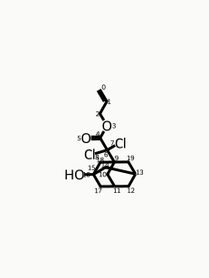 C=CCOC(=O)C(Cl)(Cl)C12CC3CC(CC(O)(C3)C1)C2